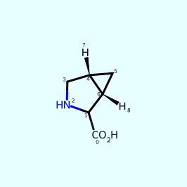 O=C(O)C1NC[C@@H]2C[C@H]12